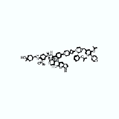 CC(C)Oc1ccccc1[C@H]1CN(Cc2cnc(N3CCOCC3)c(OC(C)C)c2)CCN1C1CC2(CCN(c3ccc(C(=O)NS(=O)(=O)c4ccc(NCC5CCC(C)(O)CC5)c([N+](=O)[O-])c4)c(N4c5cc6cc[nH]c6nc5O[C@H]5COCC[C@@H]54)c3)CC2)C1